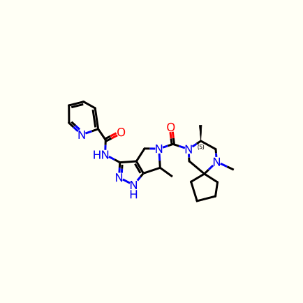 CC1c2[nH]nc(NC(=O)c3ccccn3)c2CN1C(=O)N1CC2(CCCC2)N(C)C[C@@H]1C